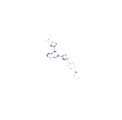 CCC(CC)n1cc(-c2nc(-c3cnn(C4CCN(C(=O)CNC(=O)O)CC4)c3)cn3nccc23)cn1